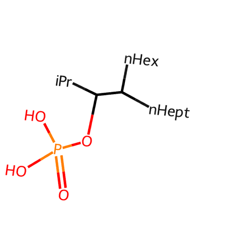 CCCCCCCC(CCCCCC)C(OP(=O)(O)O)C(C)C